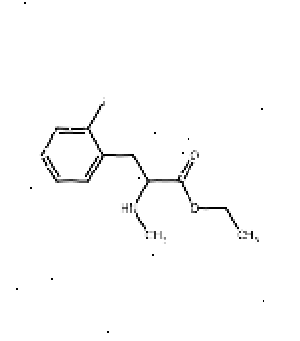 CCOC(=O)C(Cc1ccccc1I)NC